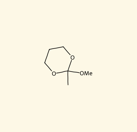 COC1(C)OCCCO1